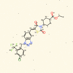 CCOC(=O)C1CCC(N2C(=O)SC(=Cc3ccc4c(c3)nnn4Cc3ccc(Cl)cc3C(F)(F)F)C2=O)CC1